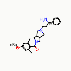 CCCCOc1cc(C)c(C(=O)N2CC3CN(CC[C@H](N)c4ccccc4)CC3C2)c(C)c1